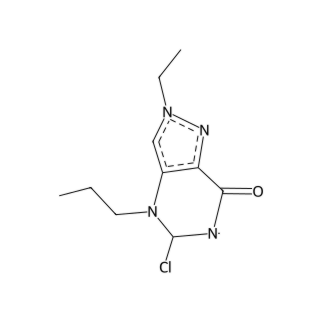 CCCN1c2cn(CC)nc2C(=O)[N]C1Cl